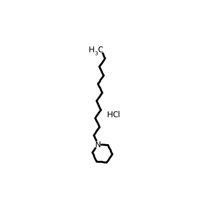 CCCCCCCCCCCN1CCCCC1.Cl